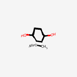 COC.OC1CCC(O)CC1